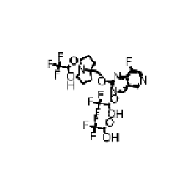 Fc1cncc2cnc(OCC34CCCN3CCC4)nc12.O=C(O)C(F)(F)F.O=C(O)C(F)(F)F.O=C(O)C(F)(F)F